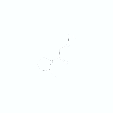 COCC(=O)N1CCSC1=S